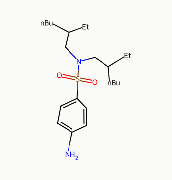 CCCCC(CC)CN(CC(CC)CCCC)S(=O)(=O)c1ccc(N)cc1